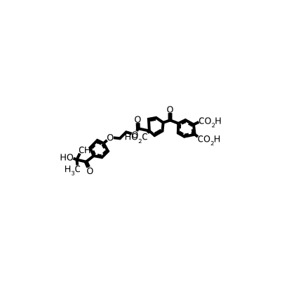 CC(C)(O)C(=O)c1ccc(OCCOC(=O)C2(C(=O)O)C=CC(C(=O)c3ccc(C(=O)O)c(C(=O)O)c3)C=C2)cc1